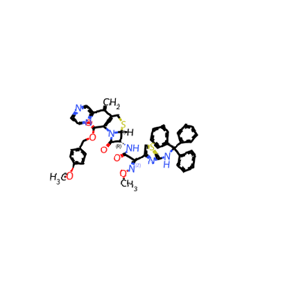 C=C(C1=C(C(=O)OCc2ccc(OC)cc2)N2C(=O)[C@@H](NC(=O)/C(=N\OC)c3csc(NC(c4ccccc4)(c4ccccc4)c4ccccc4)n3)[C@H]2SC1)c1cnccn1